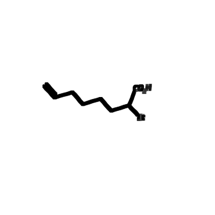 C=CCCCCC(CC)C(=O)O